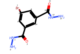 NNC(=O)c1cc(Br)cc(C(=O)NN)c1